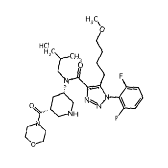 COCCCCc1c(C(=O)N(CC(C)C)[C@@H]2CNC[C@H](C(=O)N3CCOCC3)C2)nnn1-c1c(F)cccc1F.Cl